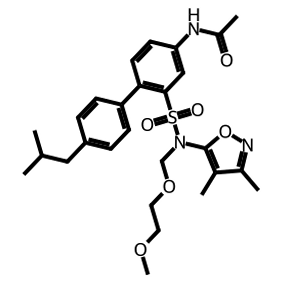 COCCOCN(c1onc(C)c1C)S(=O)(=O)c1cc(NC(C)=O)ccc1-c1ccc(CC(C)C)cc1